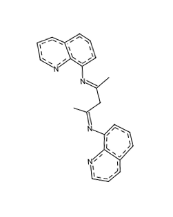 C/C(C/C(C)=N/c1cccc2cccnc12)=N/c1cccc2cccnc12